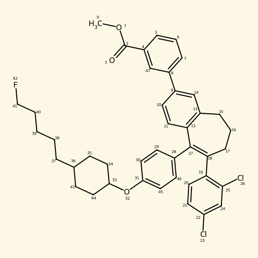 COC(=O)c1cccc(-c2ccc3c(c2)CCCC(c2ccc(Cl)cc2Cl)=C3c2ccc(OC3CCC(CCCCCF)CC3)cc2)c1